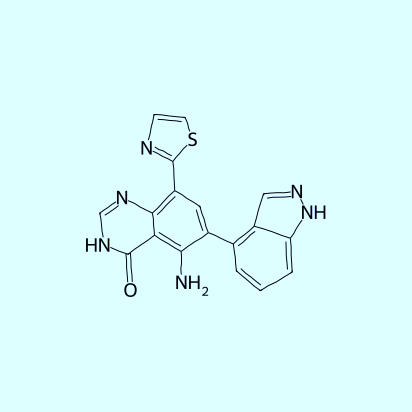 Nc1c(-c2cccc3[nH]ncc23)cc(-c2nccs2)c2nc[nH]c(=O)c12